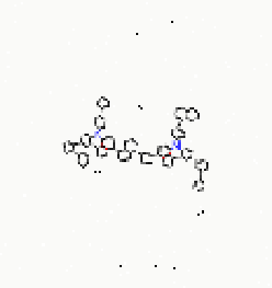 c1ccc(-c2ccc(N(c3ccc(-c4cccc5c(-c6cccc(-c7ccc(N(c8ccc(-c9cccc%10ccccc9%10)cc8)c8ccc(-c9cccc(-c%10ccccc%10)c9)cc8-c8ccccc8)cc7)c6)cccc45)cc3)c3ccc(-c4ccccc4-c4ccccc4)cc3-c3ccccc3)cc2)cc1